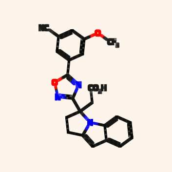 N#Cc1cc(OC(F)(F)F)cc(-c2nc(C3(CC(=O)O)CCc4cc5ccccc5n43)no2)c1